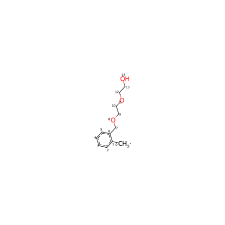 [CH2]c1ccccc1COCCOCCO